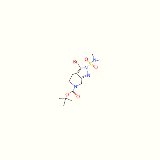 CN(C)S(=O)(=O)n1nc2c(c1Br)CCN(C(=O)OC(C)(C)C)C2